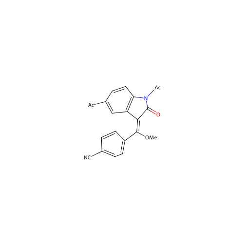 CO/C(=C1\C(=O)N(C(C)=O)c2ccc(C(C)=O)cc21)c1ccc(C#N)cc1